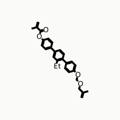 C=C(C)COCOc1ccc(-c2ccc(-c3ccc(OC(=O)C(=C)C)cc3)cc2CC)cc1